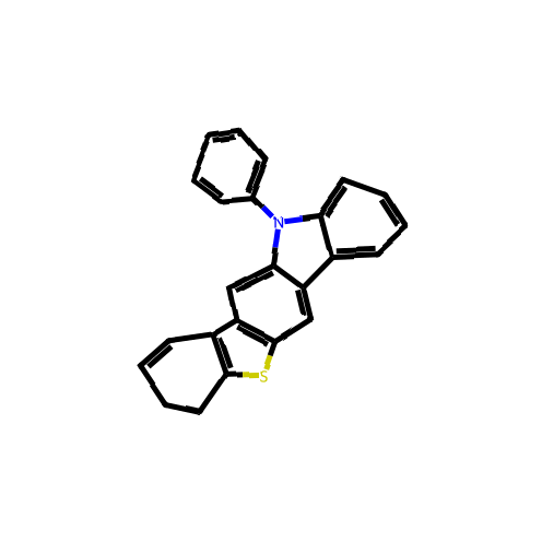 C1=Cc2c(sc3cc4c5ccccc5n(-c5ccccc5)c4cc23)CC1